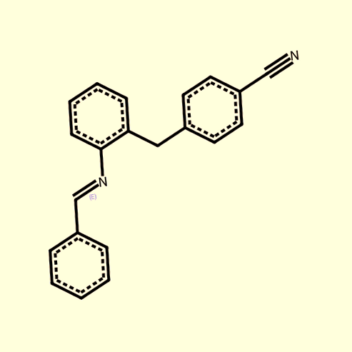 N#Cc1ccc(Cc2ccccc2/N=C/c2ccccc2)cc1